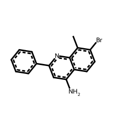 Cc1c(Br)ccc2c(N)cc(-c3ccccc3)nc12